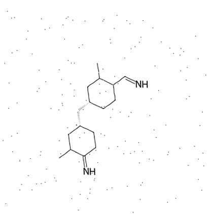 CC1C[C@H](C[C@H]2CCC(C=N)C(C)C2)CCC1=N